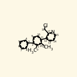 Cc1c(-c2ccccc2)ccc(-c2cccnc2CCl)c1C